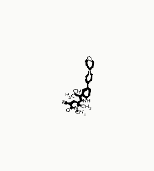 Cc1c(-c2[nH]c3ccc(C4CCN(C5CCOCC5)CC4)cc3c2C(C)C)cc(C#N)c(=O)n1C